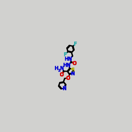 NC(=O)c1c(OCc2cccnc2)nsc1NC(=O)NCc1cc(F)ccc1F